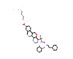 CN(C)CCCCNC(=O)c1ccc2c(c1)=CCc1c3c(ccc1=2)=C(C(C)(C(=O)O)C1Nc2ccccc2CN(C=Cc2ccccc2)C1=O)CCC3